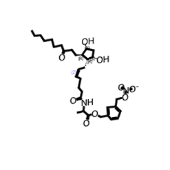 CCCCCCCC(=O)CC[C@@H]1[C@@H](C/C=C\CCCC(=O)NC(C)C(=O)OCc2cccc(CO[N+](=O)[O-])c2)[C@@H](O)C[C@H]1O